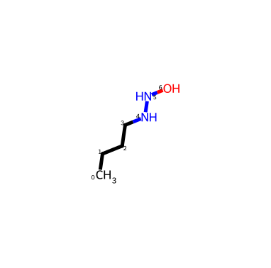 CCCCNNO